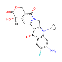 CC[C@@]1(O)C(=O)OCc2c1cc1n(c2=O)Cc2c-1c(=O)c1cc(F)c(N)cc1n2C1CC1